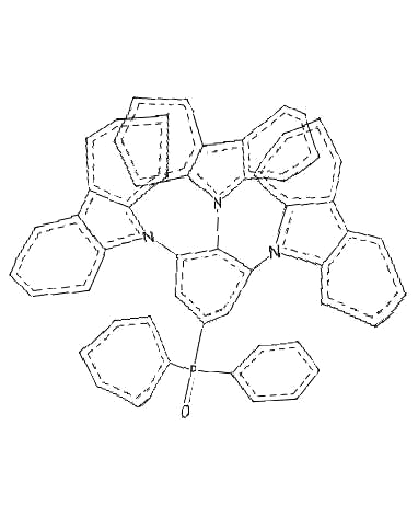 O=P(c1ccccc1)(c1ccccc1)c1cc(-n2c3ccccc3c3ccccc32)c(-n2c3ccccc3c3ccccc32)c(-n2c3ccccc3c3ccccc32)c1